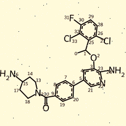 CC(Oc1cc(-c2ccc(C(=O)N3CCC(N)CC3)cc2)cnc1N)c1c(Cl)ccc(F)c1Cl